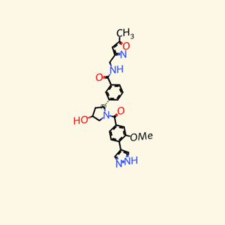 COc1cc(C(=O)N2CC(O)C[C@@H]2c2cccc(C(=O)NCc3cc(C)on3)c2)ccc1-c1cn[nH]c1